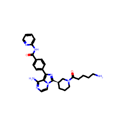 NCCCCC(=O)N1CCC[C@@H](c2nc(-c3ccc(C(=O)Nc4ccccn4)cc3)c3c(N)nccn23)C1